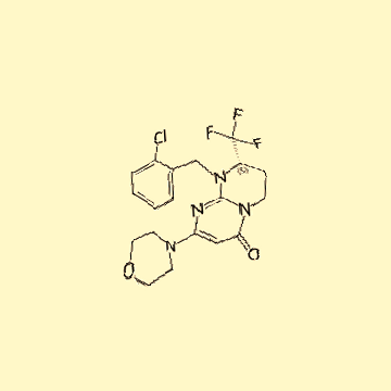 O=c1cc(N2CCOCC2)nc2n1CC[C@@H](C(F)(F)F)N2Cc1ccccc1Cl